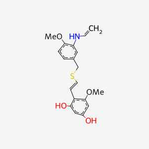 C=CNc1cc(CS/C=C/c2c(O)cc(O)cc2OC)ccc1OC